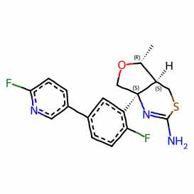 C[C@H]1OC[C@]2(c3cc(-c4ccc(F)nc4)ccc3F)N=C(N)SC[C@H]12